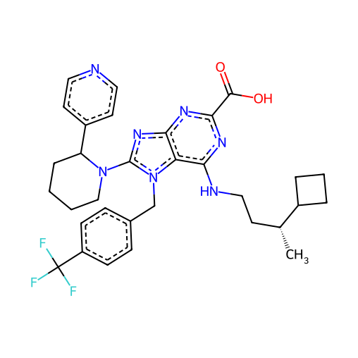 C[C@H](CCNc1nc(C(=O)O)nc2nc(N3CCCCC3c3ccncc3)n(Cc3ccc(C(F)(F)F)cc3)c12)C1CCC1